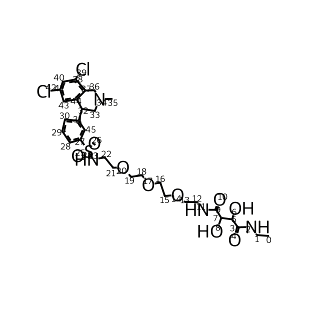 CCNC(=O)C(O)C(O)C(=O)NCCOCCOCCOCCNS(=O)(=O)c1cccc(C2CN(C)Cc3c(Cl)cc(Cl)cc32)c1